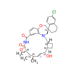 C[C@H]1[C@H](C)/C=C/[C@@H](O)[C@@H]2CC[C@H]2CN2C[C@@]3(CCCc4cc(Cl)ccc43)COc3ccc(cc32)C(=O)NS(=O)(=O)[C@@H]1C